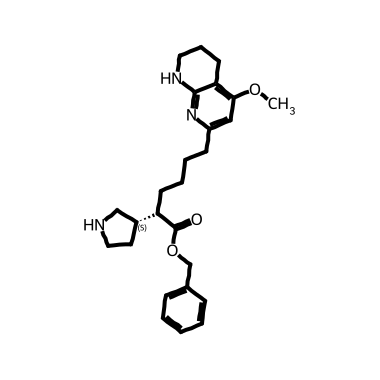 COc1cc(CCCCC(C(=O)OCc2ccccc2)[C@@H]2CCNC2)nc2c1CCCN2